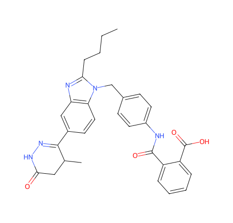 CCCCc1nc2cc(C3=NNC(=O)CC3C)ccc2n1Cc1ccc(NC(=O)c2ccccc2C(=O)O)cc1